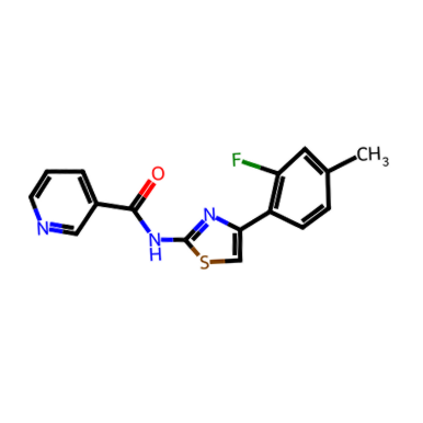 Cc1ccc(-c2csc(NC(=O)c3cccnc3)n2)c(F)c1